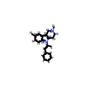 C/C(=C\c1ccccc1)n1c2c(c3cc(C)ccc31)CN(C)CC2